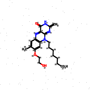 C=c1nc2c(c(=O)[nH]1)=Nc1cc(C)c(OCCO)cc1N2CCCCCCC(=O)O